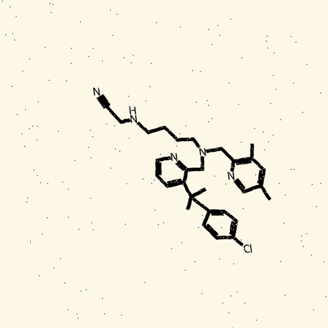 Cc1cnc(CN(CCCCNCC#N)Cc2ncccc2C(C)(C)c2ccc(Cl)cc2)c(C)c1